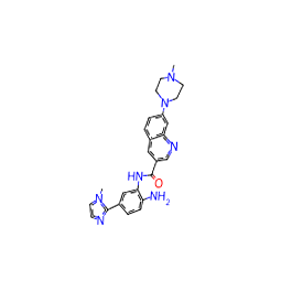 CN1CCN(c2ccc3cc(C(=O)Nc4cc(-c5nccn5C)ccc4N)cnc3c2)CC1